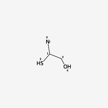 [N]C(S)CO